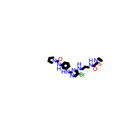 O=C(NCCCNc1nc(Nc2cccc(NC(=O)N3CCCC3)c2)ncc1Br)c1nccs1